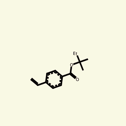 C=Cc1ccc(C(=O)OC(C)(C)CC)cc1